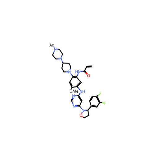 C=CC(=O)Nc1cc(Nc2cc(N3OCCC3c3ccc(F)c(F)c3)ncn2)c(OC)cc1N1CCC(N2CCN(C(C)=O)CC2)CC1